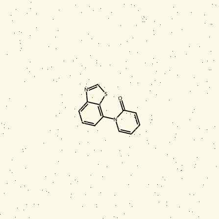 O=c1ccccn1-c1cccc2ncsc12